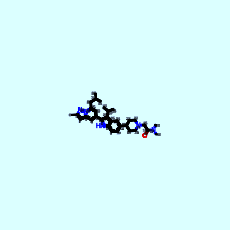 Cc1cc2cc(-c3[nH]c4ccc(C5CCN(CC(=O)N(C)C)CC5)cc4c3C(C)C)cc(CC(C)C)n2n1